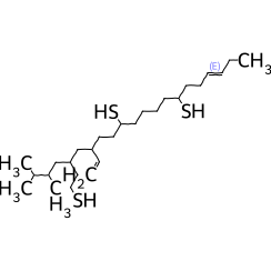 C=CC(CCC(S)CCCCC(S)CC/C=C/CC)CC(CCS)CC(C)C(C)C